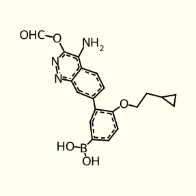 Nc1c(OC=O)nnc2cc(-c3cc(B(O)O)ccc3OCCC3CC3)ccc12